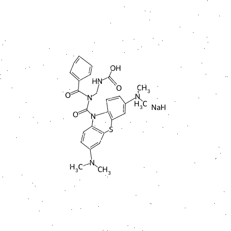 CN(C)c1ccc2c(c1)Sc1cc(N(C)C)ccc1N2C(=O)N(CNC(=O)O)C(=O)c1ccccc1.[NaH]